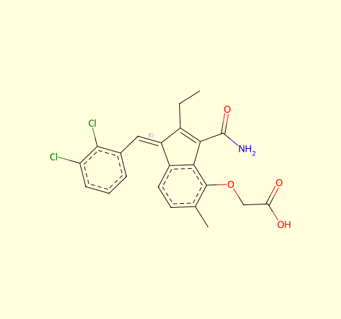 CCC1=C(C(N)=O)c2c(ccc(C)c2OCC(=O)O)/C1=C\c1cccc(Cl)c1Cl